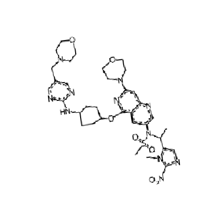 CC(c1cnc([N+](=O)[O-])n1C)N(c1cnc2cc(N3CCOCC3)nc(OC3CCC(Nc4ncc(CN5CCOCC5)cn4)CC3)c2c1)S(C)(=O)=O